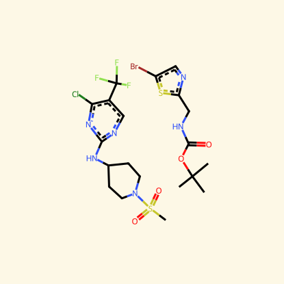 CC(C)(C)OC(=O)NCc1ncc(Br)s1.CS(=O)(=O)N1CCC(Nc2ncc(C(F)(F)F)c(Cl)n2)CC1